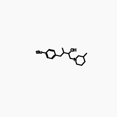 CC1CCCN(CC(O)C(C)Cc2ccc(C(C)(C)C)cc2)C1